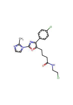 Cc1nccn1-c1nc(-c2ccc(Cl)cc2)c(CCCC(=O)NCCCl)o1